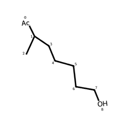 CC(=O)C(C)CCCCCO